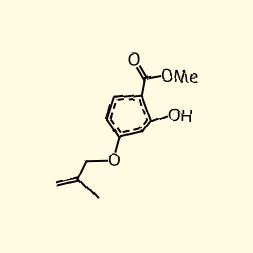 C=C(C)COc1ccc(C(=O)OC)c(O)c1